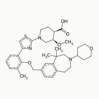 CO[C@H]1CN(c2nc(-c3cccc(C)c3OCc3ccc4c(c3)C(C)(C)CN(C3CCOCC3)CC4)cs2)CC[C@H]1C(=O)O